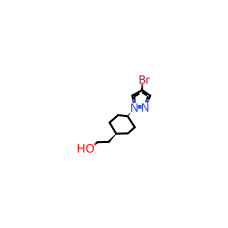 OCC[C@H]1CC[C@H](n2cc(Br)cn2)CC1